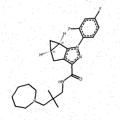 CC(C)(CNC(=O)c1nn(-c2ccc(F)cc2F)c2c1C[C@H]1C[C@@H]21)CN1CCCCCC1